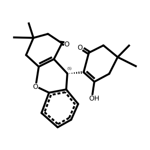 CC1(C)CC(=O)C([C@H]2C3=C(CC(C)(C)CC3=O)Oc3ccccc32)=C(O)C1